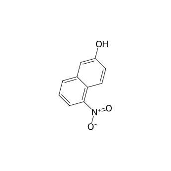 O=[N+]([O-])c1cccc2cc(O)ccc12